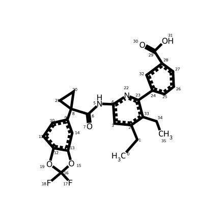 CCc1cc(NC(=O)C2(c3ccc4c(c3)OC(F)(F)O4)CC2)nc(-c2cccc(C(=O)O)c2)c1CC